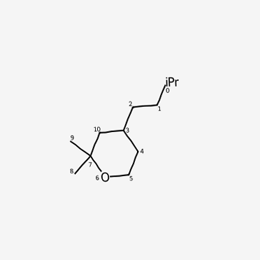 CC(C)CCC1CCOC(C)(C)C1